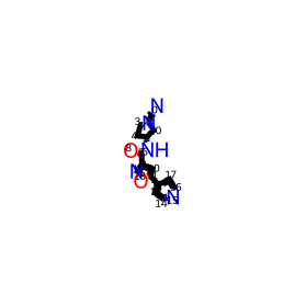 N#CN1CCC(NC(=O)c2cc(-c3ccncc3)on2)C1